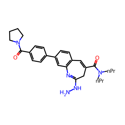 CCCN(CCC)C(=O)C1=Cc2ccc(-c3ccc(C(=O)N4CCCC4)cc3)cc2N=C(NN)C1